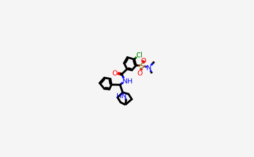 CN(C)S(=O)(=O)c1cc(C(=O)NC(c2ccccc2)C23CCC(CC2)CN3)ccc1Cl